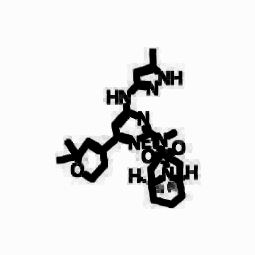 CCS(=O)(=O)N1[C@@H]2CCC[C@H]1CC(N(C)c1nc(Nc3cc(C)[nH]n3)cc(C3=CC(C)(C)OCC3)n1)C2